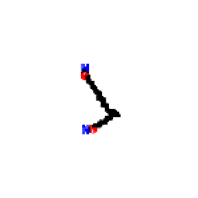 N#COCCCCCCCCCCCCC1C2CC12CCCCCCOC#N